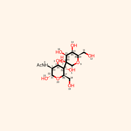 CC(=O)N[C@H]1[C@@H](O)[C@@](O)([C@@]2(O)CO[C@H](CO)[C@H](O)[C@@H]2O)[C@@H](CO)O[C@@H]1O